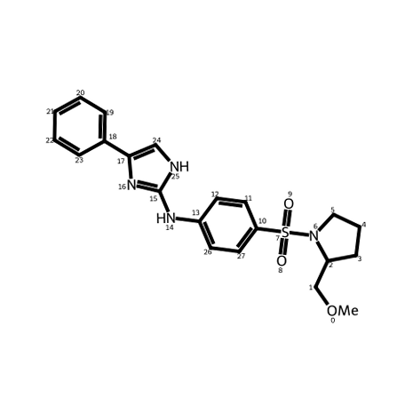 COCC1CCCN1S(=O)(=O)c1ccc(Nc2nc(-c3ccccc3)c[nH]2)cc1